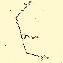 COCCCC(=O)OC(CCCCCCCC/C=C\CCCCCCCC(=O)OC)CCCCCCCC/C=C\CCCCCCCC(=O)OC